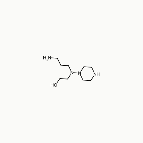 NCCCN(CCO)N1CCNCC1